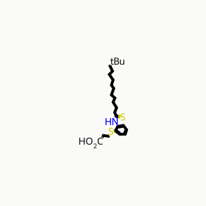 CC(C)(C)CCCCCCCCCCCC(=S)Nc1ccccc1SCCC(=O)O